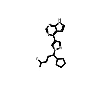 FC(F)CCC(C1CCCC1)n1cc(-c2ncnc3[nH]ccc23)cn1